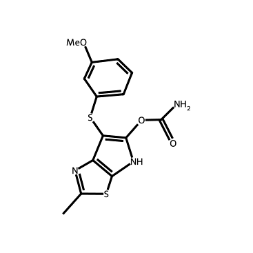 COc1cccc(Sc2c(OC(N)=O)[nH]c3sc(C)nc23)c1